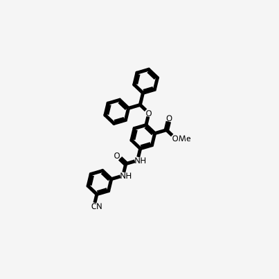 COC(=O)c1cc(NC(=O)Nc2cccc(C#N)c2)ccc1OC(c1ccccc1)c1ccccc1